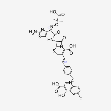 CC(C)(O/N=C(\C(=O)NC1C(=O)N2C(C(=O)O)=C(/C=C/c3ccc(C[n+]4cc(C(=O)O)c(O)c5cc(F)ccc54)cc3)CSC12)c1csc(N)n1)C(=O)O